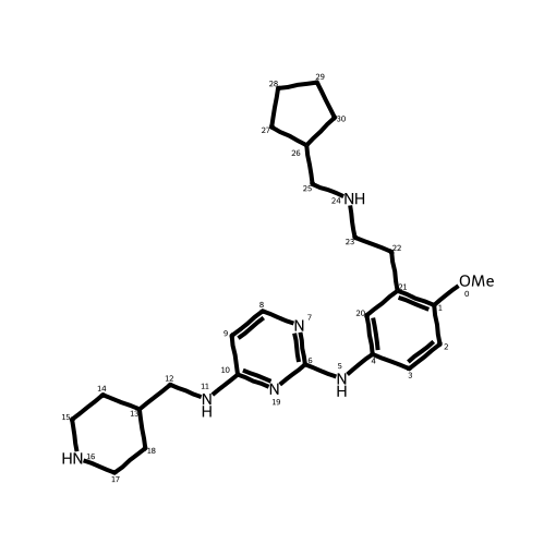 COc1ccc(Nc2nccc(NCC3CCNCC3)n2)cc1CCNCC1CCCC1